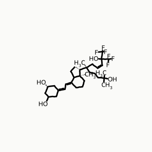 CC(C)(O)CCC[C@](C)(C/C=C\C(O)(C(F)(F)F)C(F)(F)F)[C@H]1CCC2/C(=C/C=C3/CC(O)C[C@H](O)C3)CCC[C@@]21C